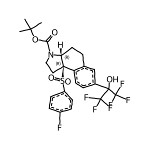 CC(C)(C)OC(=O)N1CC[C@@]2(S(=O)(=O)c3ccc(F)cc3)c3ccc(C(O)(C(F)(F)F)C(F)(F)F)cc3CC[C@@H]12